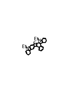 CCn1c2c(c3cc4c(cc31)sc1c4c3ccccc3c3c4c(n(CC)c13)C=CCC4)CCC=C2